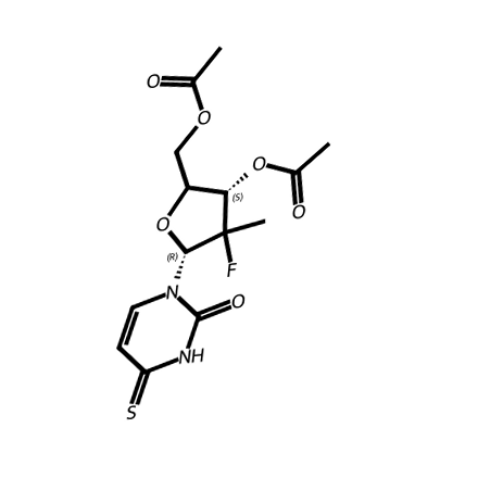 CC(=O)OCC1O[C@@H](n2ccc(=S)[nH]c2=O)C(C)(F)[C@H]1OC(C)=O